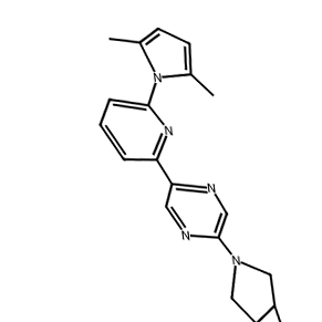 Cc1ccc(C)n1-c1cccc(-c2cnc(N3CC4CC4C3)cn2)n1